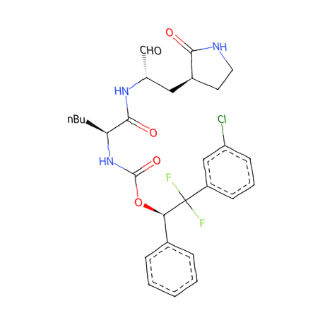 CCCC[C@H](NC(=O)O[C@H](c1ccccc1)C(F)(F)c1cccc(Cl)c1)C(=O)N[C@H](C=O)C[C@@H]1CCNC1=O